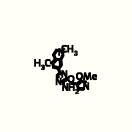 COc1cnccc1COc1nc(-c2cc(C)c3c(c2)CN(C)CC3)cnc1N